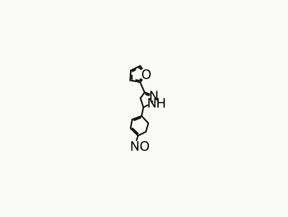 O=NC1=CC=C(C2CC(c3ccco3)=NN2)CC1